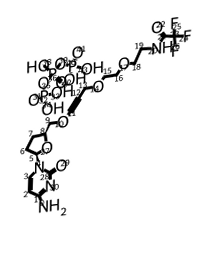 Nc1ccn([C@H]2CC[C@@H](COC#CCOCCOCCNC(=O)C(F)(F)F)O2)c(=O)n1.O=P(O)(O)OP(=O)(O)OP(=O)(O)O